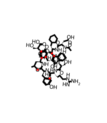 CC(=O)N[C@@H](CC(=O)O)C(=O)N[C@@H](CC1CCCCC1)C(=O)N[C@@H](Cc1ccccc1)C(=O)N[C@H](CO)C(=O)N[C@H](CCCNC(=N)N)C(=O)N[C@@H](Cc1ccc(O)cc1)C(=O)N[C@@H](CC(C)C)C(=O)N[C@@H](Cc1c[nH]c2ccccc12)C(=O)N[C@@H](CO)C(=O)O